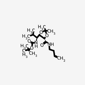 C=CCCNC(=O)[C@H]1OC(C)(C)O[C@@H]1[C@@H](NC(=O)OC(C)(C)C)C(C)C